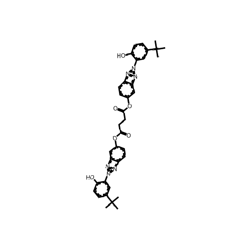 CC(C)(C)c1ccc(O)c(-n2n3c4ccc(OC(=O)CCC(=O)Oc5ccc6c(c5)n5n(-c7cc(C(C)(C)C)ccc7O)n65)cc4n23)c1